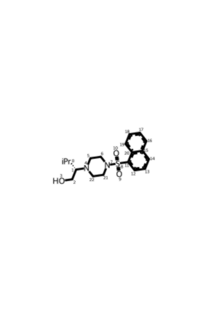 CC(C)[C@@H](CO)N1CCN(S(=O)(=O)c2cccc3ccccc23)CC1